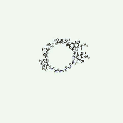 CNC(=O)N[C@H]1[C@@H]2C[C@@H](O[C@@H]3O[C@H](C)[C@@H](O)[C@H](N)[C@@H]3O)/C=C/C=C/C=C/C=C/C=C/C=C/C=C/[C@H](C)[C@@H](O)[C@@H](C)[C@H](C)OC(=O)C[C@H](O)C[C@H](O)CC[C@@H](O)[C@H](O)C[C@H](O)C[C@](O)(C[C@@H]1O)O2